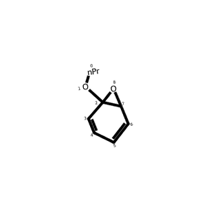 CCCOC12C=CC=CC1O2